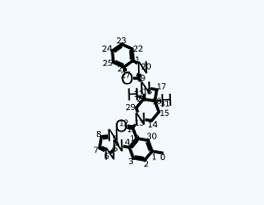 Cc1ccc(-n2nccn2)c(C(=O)N2CC[C@H]3CN(c4nc5ccccc5o4)[C@H]3C2)c1